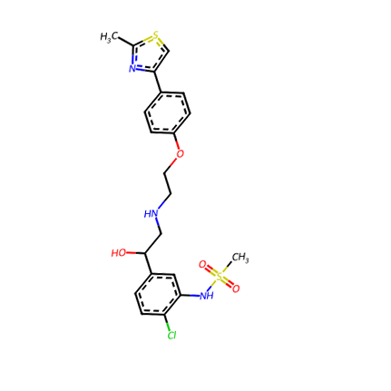 Cc1nc(-c2ccc(OCCNCC(O)c3ccc(Cl)c(NS(C)(=O)=O)c3)cc2)cs1